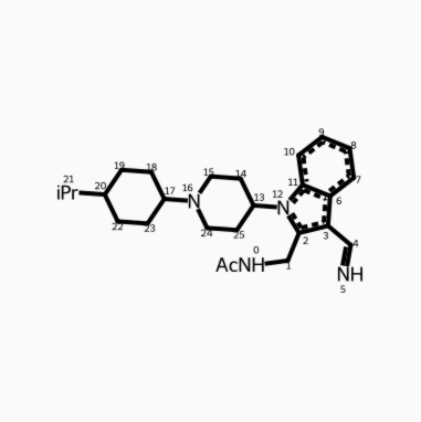 CC(=O)NCc1c(C=N)c2ccccc2n1C1CCN(C2CCC(C(C)C)CC2)CC1